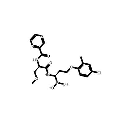 COC[C@@H](NC(=O)c1cnccn1)C(=O)N[C@@H](CCOc1ccc(Cl)cc1C)B(O)O